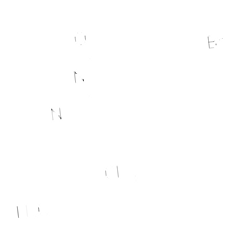 Cc1cc(C)cc(CN2CCN(C(=O)/C=C/c3ccc(Br)cc3)CC2)c1